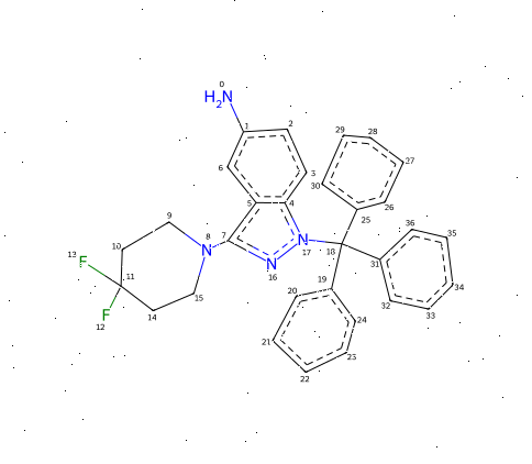 Nc1ccc2c(c1)c(N1CCC(F)(F)CC1)nn2C(c1ccccc1)(c1ccccc1)c1ccccc1